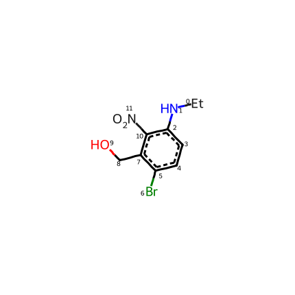 CCNc1ccc(Br)c(CO)c1[N+](=O)[O-]